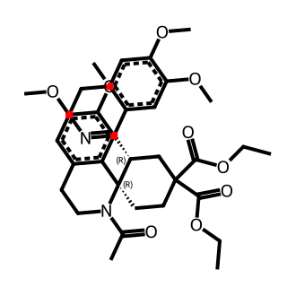 CCOC(=O)C1(C(=O)OCC)CC[C@]2(c3cc(OC)c(OC)cc3CCN2C(C)=O)[C@H](C2=NCCc3cc(OC)c(OC)cc32)C1